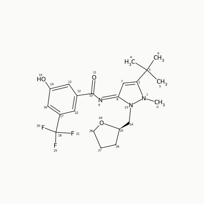 Cn1c(C(C)(C)C)cc(=NC(=O)c2cc(O)cc(C(F)(F)F)c2)n1C[C@H]1CCCO1